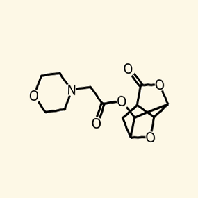 O=C(CN1CCOCC1)OC1C2CC3C(=O)OC1C3O2